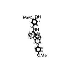 COc1ccc(N2CCC3(CC2)CC(C(=O)NCc2ccc(O)c(OC)c2)=NO3)cc1.NC=O